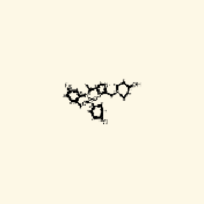 CC(c1cnc(CN2CCC(O)CC2)s1)N(c1cc(F)ccc1F)S(=O)(=O)c1ccc(Cl)cc1